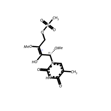 CO/C(COS(C)(=O)=O)=C(\O)[C@H](OC)n1cc(C)c(=O)[nH]c1=O